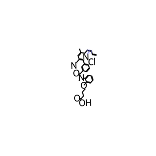 C=C/C=C\c1nc(-c2cc(C(=O)N(C)c3ccccc3OCCCC(=O)O)ccc2Cl)c(C#N)cc1C